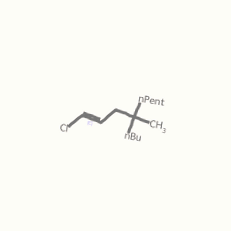 CCCCCC(C)(C/C=C/Cl)CCCC